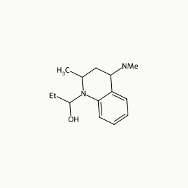 CCC(O)N1c2ccccc2C(NC)CC1C